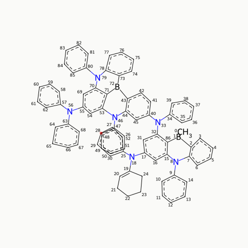 CB1c2ccccc2N(c2ccccc2)c2cc(N(C3=CCCCC3)c3ccccc3)cc(N(c3ccccc3)c3ccc4c(c3)N(c3ccccc3)c3cc(N(c5ccccc5)c5ccccc5)cc5c3B4c3ccccc3N5c3ccccc3)c21